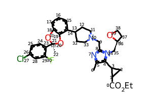 CCOC(=O)C1CC1c1c(C)nc(CN2CCC(c3cccc4c3O[C@@](C)(c3ccc(Cl)cc3F)O4)CC2)n1C[C@@H]1CCO1